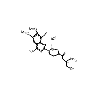 COc1cc2c(N)nc(N3CCN(C(=O)C[C@@H](N)CC(C)C)C[C@@H]3C)nc2c(F)c1OC.Cl